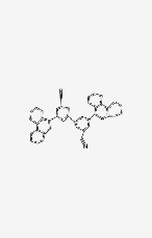 N#Cc1cc(-c2cc(C#N)cc(-c3cc4ccccc4c4ccccc34)c2)cc(-c2cc3ccccc3c3ccccc23)c1